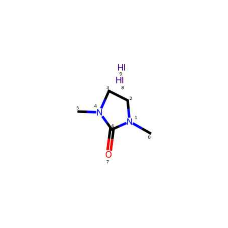 CN1CCN(C)C1=O.I.I